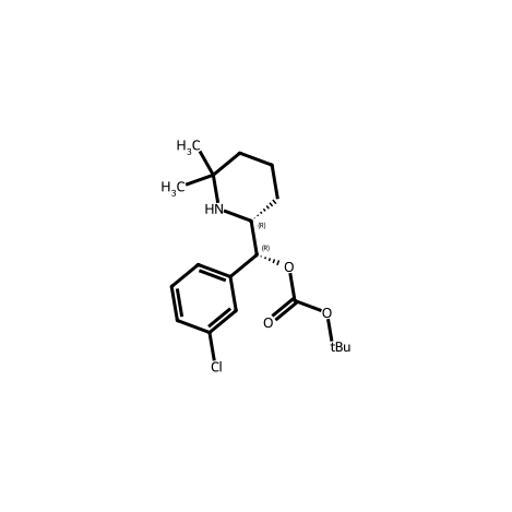 CC1(C)CCC[C@H]([C@H](OC(=O)OC(C)(C)C)c2cccc(Cl)c2)N1